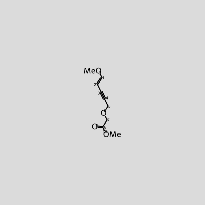 COC=CC#CCOCC(=O)OC